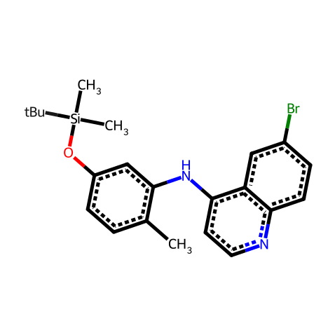 Cc1ccc(O[Si](C)(C)C(C)(C)C)cc1Nc1ccnc2ccc(Br)cc12